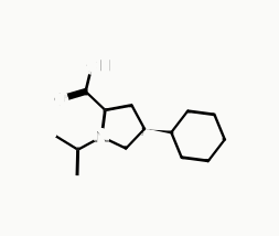 CC(C)N1C[C@H](C2CCCCC2)CC1C(=O)O